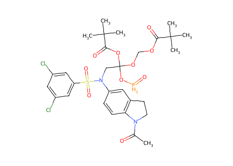 CC(=O)N1CCc2cc(N(CC(OCOC(=O)C(C)(C)C)(O[PH2]=O)OC(=O)C(C)(C)C)S(=O)(=O)c3cc(Cl)cc(Cl)c3)ccc21